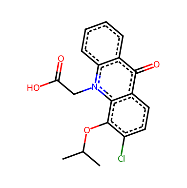 CC(C)Oc1c(Cl)ccc2c(=O)c3ccccc3n(CC(=O)O)c12